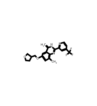 C=C1NC(c2cc(C(F)(F)F)ccn2)=Nc2c(C)cc(OCC3CCOC3)cc21